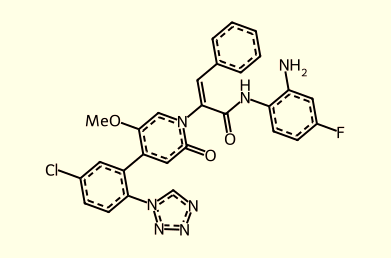 COc1cn(C(=Cc2ccccc2)C(=O)Nc2ccc(F)cc2N)c(=O)cc1-c1cc(Cl)ccc1-n1cnnn1